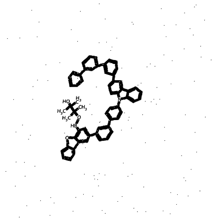 CC(C)(O)C(C)(C)OBc1cc(-c2cccc(-c3ccc(-n4c5ccccc5c5cc(-c6cccc(-c7cccc(-c8ccccc8)c7)c6)ccc54)cc3)c2)cc2c1oc1ccccc12